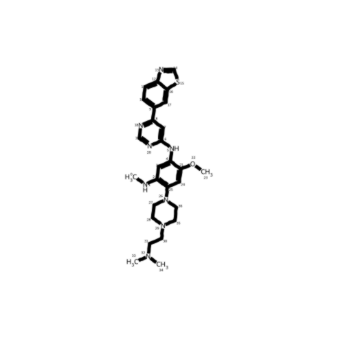 CNc1cc(Nc2cc(-c3ccc4ncsc4c3)ncn2)c(OC)cc1N1CCN(CCN(C)C)CC1